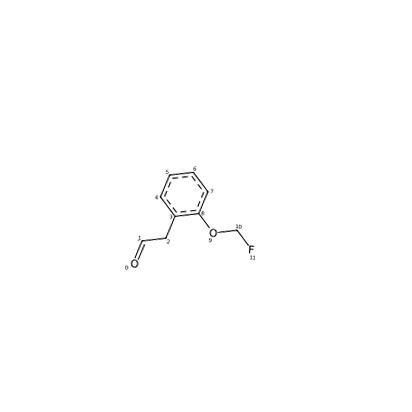 O=[C]Cc1ccccc1OCF